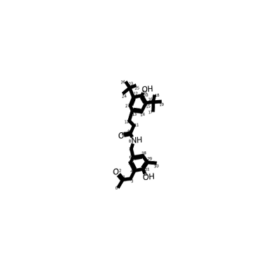 CC(=O)Cc1cc(CNC(=O)CCc2cc(C(C)(C)C)c(O)c(C(C)(C)C)c2)cc(C)c1O